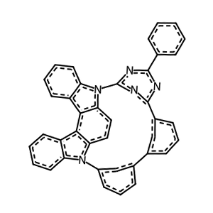 c1ccc(-c2nc3nc(n2)-n2c4ccccc4c4c5c6ccccc6n(c5ccc42)-c2cccc(c2)-c2cccc-3c2)cc1